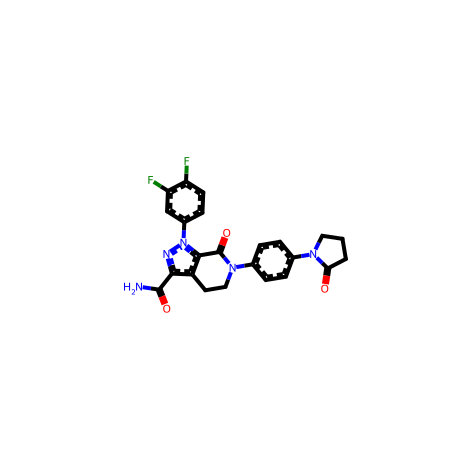 NC(=O)c1nn(-c2ccc(F)c(F)c2)c2c1CCN(c1ccc(N3CCCC3=O)cc1)C2=O